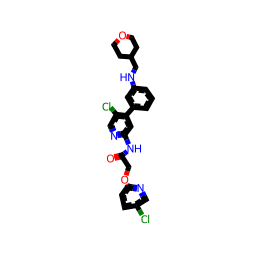 O=C(COc1ccc(Cl)cn1)Nc1cc(-c2cccc(NCC3CCOCC3)c2)c(Cl)cn1